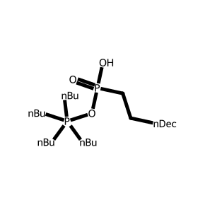 CCCCCCCCCCCCP(=O)(O)OP(CCCC)(CCCC)(CCCC)CCCC